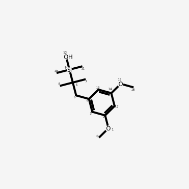 COc1cc(CC(C)(C)[Si](C)(C)O)cc(OC)c1